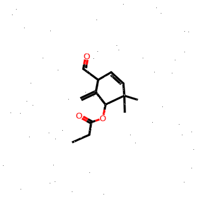 C=C1C(C=O)C=CC(C)(C)C1OC(=O)CC